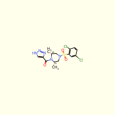 C[C@@H]1CN(S(=O)(=O)c2cc(Cl)ccc2Cl)C[C@H](C)N1C(=O)c1c[nH]nn1